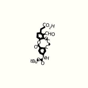 CC(C)(C)OC(=O)Nc1ccc2c(c1)CCCOc1c(ccc(CCC(=O)O)c1C=O)OC2=O